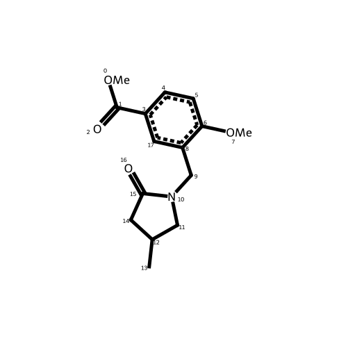 COC(=O)c1ccc(OC)c(CN2CC(C)CC2=O)c1